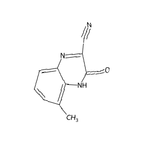 Cc1cccc2nc(C#N)c(=O)[nH]c12